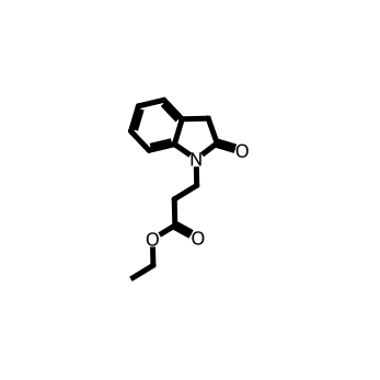 CCOC(=O)CCN1C(=O)Cc2ccccc21